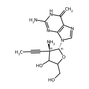 C=C1NC(N)=Nc2c1ncn2[C@@H]1OC(CO)C(O)[C@]1(N)C#CC